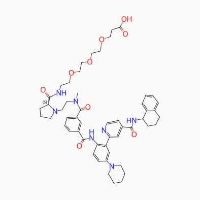 CN(CCN1CCC[C@H]1C(=O)NCCOCCOCCOCCC(=O)O)C(=O)c1cccc(C(=O)Nc2ccc(N3CCCCC3)cc2-c2cc(C(=O)NC3CCCc4ccccc43)ccn2)c1